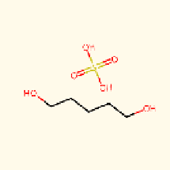 O=S(=O)(O)O.OCCCCCO